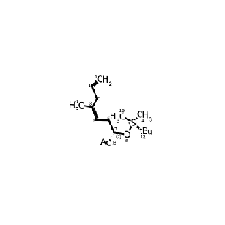 C=CCC(C)=CC[C@H](O[Si](C)(C)C(C)(C)C)C(C)=O